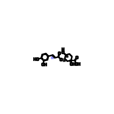 O=C(/C=C/c1ccc(O)c(O)c1)O[C@H]1C[C@@](O)(C(=O)O)CC[C@@H]1O